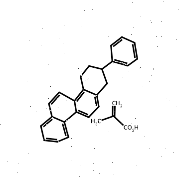 C=C(C)C(=O)O.c1ccc(C2CCc3c(ccc4c3ccc3ccccc34)C2)cc1